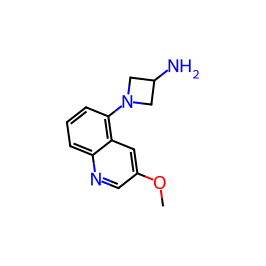 COc1cnc2cccc(N3CC(N)C3)c2c1